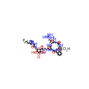 N=C(N)NCCC[C@@H]1NC(=O)[C@H](CCCCNC(=O)C2O[C@H](CNC(=O)Cn3cc(CCCF)nn3)C(O)C(O)[C@@H]2O)NC(=O)N(Cc2ccccc2)NC(=O)[C@H](CC(=O)O)NC(=O)CNC1=O